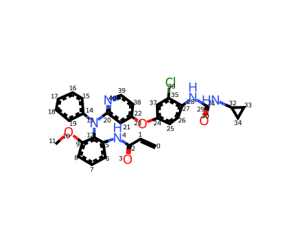 C=CC(=O)Nc1cccc(OC)c1N(c1ccccc1)c1cc(Oc2ccc(NC(=O)NC3CC3)c(Cl)c2)ccn1